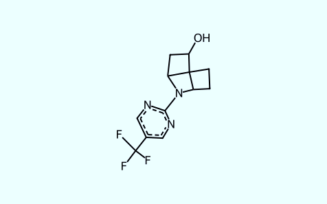 OC1CC2N(c3ncc(C(F)(F)F)cn3)C3CCC132